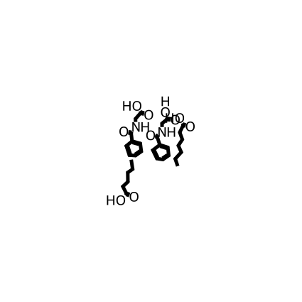 CCCCCC(=O)O.CCCCCCC(=O)O.O=C(O)CNC(=O)c1ccccc1.O=C(O)CNC(=O)c1ccccc1